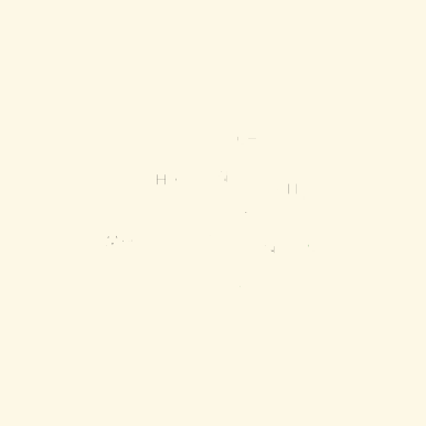 COCCC(C)([SiH](C)C)[SiH](Cl)Cl